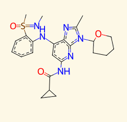 CN=S(C)(=O)c1ccccc1Nc1cc(NC(=O)C2CC2)nc2c1nc(C)n2C1CCCCO1